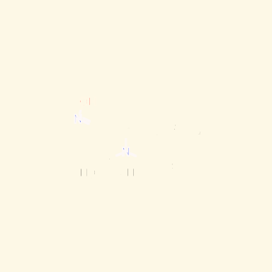 CC1(C)CC(=NO)CCN1Cc1ccccc1